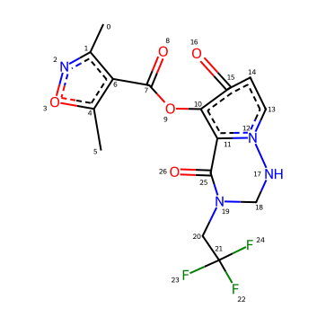 Cc1noc(C)c1C(=O)Oc1c2n(ccc1=O)NCN(CC(F)(F)F)C2=O